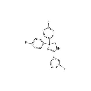 Fc1ccc(C2(c3ccc(F)cc3)CNC(c3cccc(F)c3)=N2)cc1